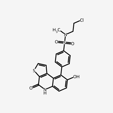 CN(CCCl)S(=O)(=O)c1ccc(-c2c(O)ccc3[nH]c(=O)c4sccc4c23)cc1